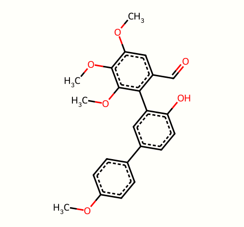 COc1ccc(-c2ccc(O)c(-c3c(C=O)cc(OC)c(OC)c3OC)c2)cc1